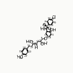 O=S(=O)(Nc1cc(OCC(O)CN[C@@H](O)CCc2ccc(O)cc2)ccc1O)c1ccc(Cl)cc1